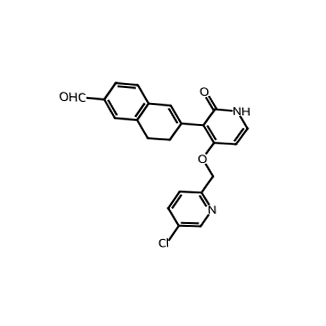 O=Cc1ccc2c(c1)CCC(c1c(OCc3ccc(Cl)cn3)cc[nH]c1=O)=C2